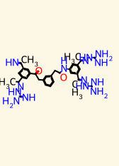 CC(=N)c1cc(C(=O)Cc2cccc(CC(=O)Nc3cc(/C(C)=N/NC(=N)N)cc(/C(C)=N/NC(=N)N)c3)c2)cc(/C(C)=N/NC(=N)N)c1